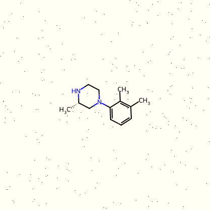 Cc1cccc(N2CCN[C@@H](C)C2)c1C